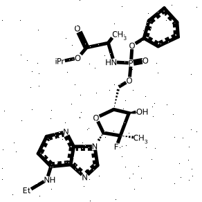 CCNc1ccnc2c1ncn2[C@@H]1O[C@H](COP(=O)(NC(C)C(=O)OC(C)C)Oc2ccccc2)[C@@H](O)[C@@]1(C)F